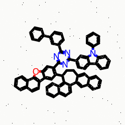 c1ccc(-c2cccc(-c3nc(-c4ccc5c6ccccc6n(-c6ccccc6)c5c4)nc(-c4cc5oc6c7ccccc7ccc6c5cc4C4CCc5cc6ccccc6cc5-c5ccc6ccccc6c54)n3)c2)cc1